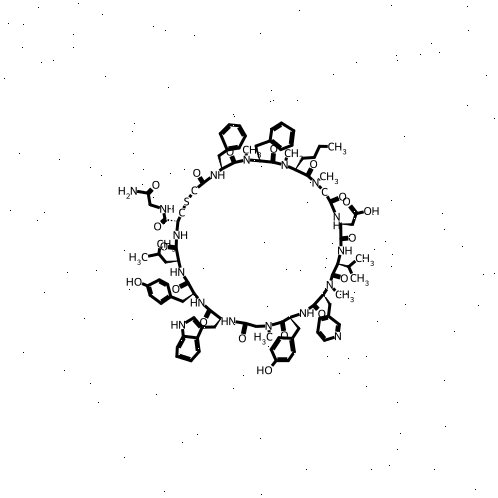 CCCC[C@H]1C(=O)N(C)CC(=O)N[C@@H](CC(=O)O)C(=O)N[C@@H](C(C)C)C(=O)N(C)[C@@H](Cc2cccnc2)C(=O)N[C@@H](Cc2ccc(O)cc2)C(=O)N(C)CC(=O)N[C@@H](Cc2c[nH]c3ccccc23)C(=O)N[C@@H](Cc2ccc(O)cc2)C(=O)N[C@@H](CC(C)C)C(=O)N[C@H](C(=O)NCC(N)=O)CSCC(=O)N[C@@H](Cc2ccccc2)C(=O)N(C)[C@@H](Cc2ccccc2)C(=O)N1C